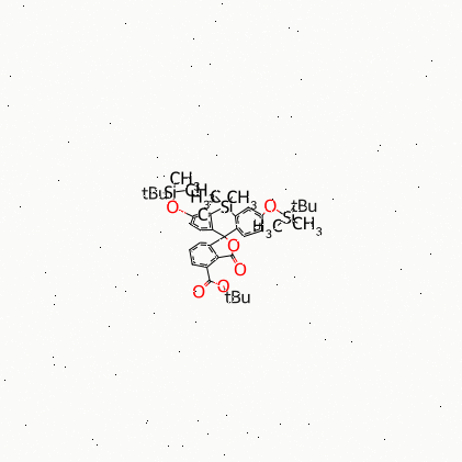 CC(C)(C)OC(=O)c1cccc2c1C(=O)OC21c2ccc(O[Si](C)(C)C(C)(C)C)cc2[Si](C)(C)c2cc(O[Si](C)(C)C(C)(C)C)ccc21